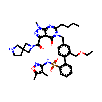 CCCCc1nc2c(c(C(=O)N3CC4(CCNC4)C3)nn2C)c(=O)n1Cc1ccc(-c2ccccc2S(=O)(=O)Nc2noc(C)c2C)c(COCC)c1